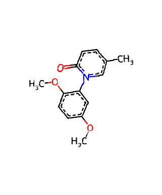 COc1ccc(OC)c(-n2cc(C)ccc2=O)c1